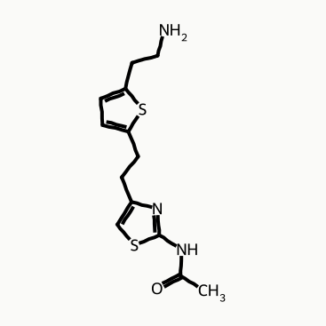 CC(=O)Nc1nc(CCc2ccc(CCN)s2)cs1